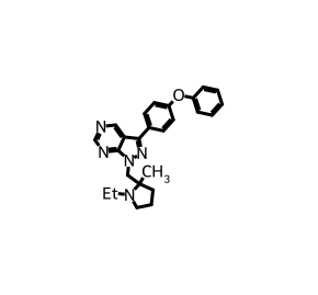 CCN1CCCC1(C)Cn1nc(-c2ccc(Oc3ccccc3)cc2)c2cncnc21